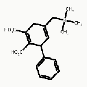 C[Si](C)(C)CC1=CC(c2ccccc2)C(C(=O)O)=C(C(=O)O)C1